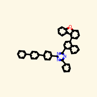 c1ccc(-c2ccc(-c3ccc(-c4nc(-c5ccccc5)nc(-c5ccc(-c6cccc7oc8ccccc8c67)c6ccccc56)n4)cc3)cc2)cc1